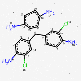 Nc1ccc(Cc2ccc(N)c(Cl)c2)cc1Cl.Nc1ccc(N)cc1